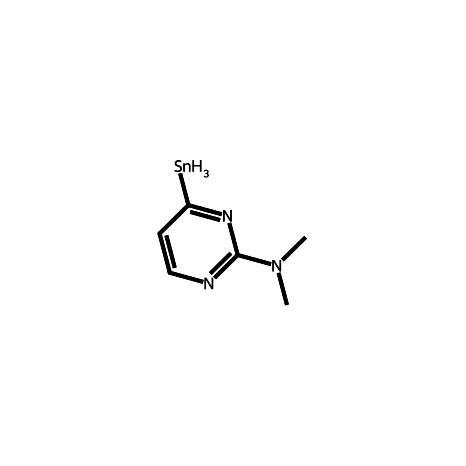 CN(C)c1ncc[c]([SnH3])n1